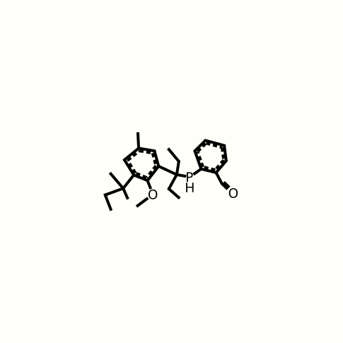 CCC(C)(C)c1cc(C)cc(C(CC)(CC)Pc2ccccc2C=O)c1OC